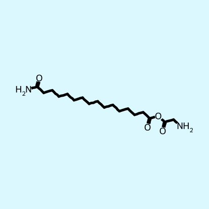 NCC(=O)OC(=O)CCCCCCCCCCCCCCC(N)=O